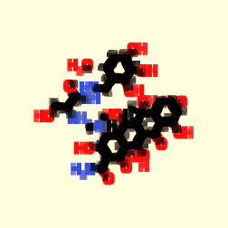 CN(C)[C@@H]1C(O)=C(C(N)=O)C(=O)[C@@]2(O)C(O)=C3C(=O)c4c(O)cccc4[C@@](C)(O)[C@H]3[C@H](O)[C@@H]12.NC(CO)C(=O)NNCc1ccc(O)c(O)c1O.O.O